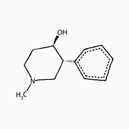 CN1CC[C@@H](O)[C@H](c2ccccc2)C1